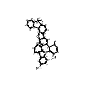 CC1C=CC(C#N)=C(n2c3ccccc3c3cc(C#N)ccc32)C1c1ccc2oc3c4c(ccc3c2c1)C(C)(C)c1ccccc1-4